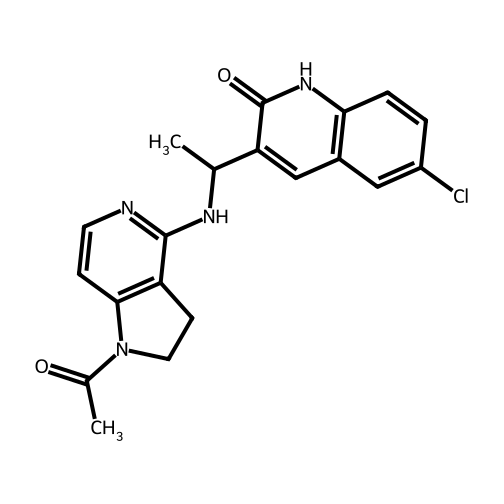 CC(=O)N1CCc2c1ccnc2NC(C)c1cc2cc(Cl)ccc2[nH]c1=O